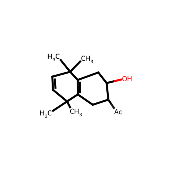 CC(=O)C1CC2=C(CC1O)C(C)(C)C=CC2(C)C